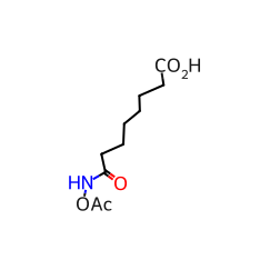 CC(=O)ONC(=O)CCCCCCC(=O)O